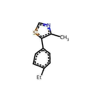 [CH2]Cc1ccc(-c2scnc2C)cc1